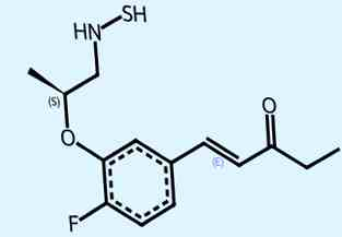 CCC(=O)/C=C/c1ccc(F)c(O[C@@H](C)CNS)c1